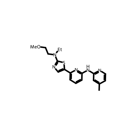 CCN(CCOC)c1ncc(-c2cccc(Nc3cc(C)ccn3)n2)s1